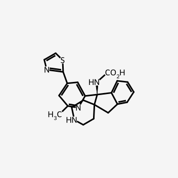 Cc1cc(-c2nccs2)cc([C@]2(NC(=O)O)c3ccccc3CC23CCNCC3)n1